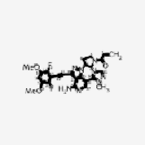 C=CC(=O)N1CC[C@H](n2nc(C#Cc3c(F)c(OC)cc(OC)c3F)c3c(N)ncc(-c4ncnn4C)c32)C1